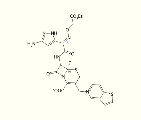 CCOC(=O)CO/N=C(/C(=O)NC1C(=O)N2C(C(=O)[O-])=C(C[n+]3ccc4sccc4c3)CS[C@H]12)c1cc(N)n[nH]1